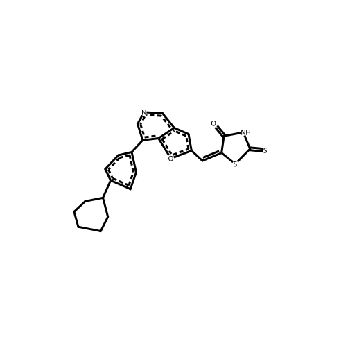 O=C1NC(=S)S/C1=C/c1cc2cncc(-c3ccc(C4CCCCC4)cc3)c2o1